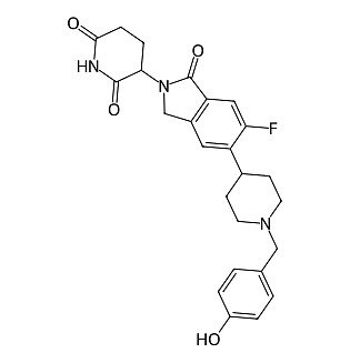 O=C1CCC(N2Cc3cc(C4CCN(Cc5ccc(O)cc5)CC4)c(F)cc3C2=O)C(=O)N1